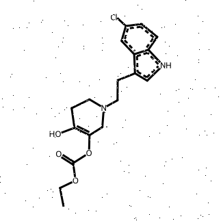 CCOC(=O)OC1=C(O)CCN(CCc2c[nH]c3ccc(Cl)cc23)C1